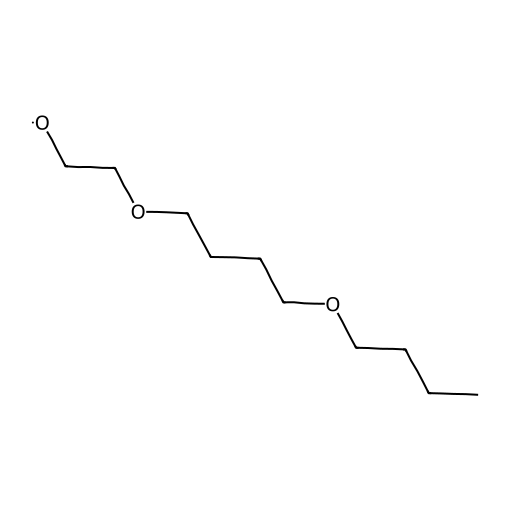 CCCCOCCCCOCC[O]